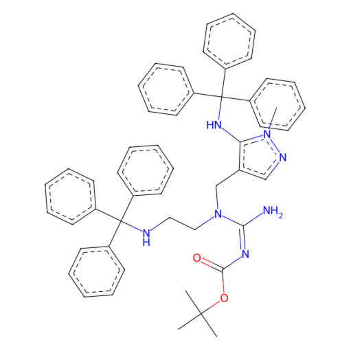 Cn1ncc(CN(CCNC(c2ccccc2)(c2ccccc2)c2ccccc2)C(N)=NC(=O)OC(C)(C)C)c1NC(c1ccccc1)(c1ccccc1)c1ccccc1